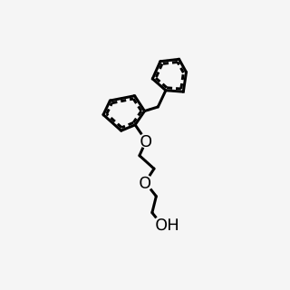 OCCOCCOc1ccccc1Cc1ccccc1